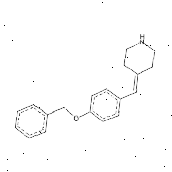 C(=C1CCNCC1)c1ccc(OCc2ccccc2)cc1